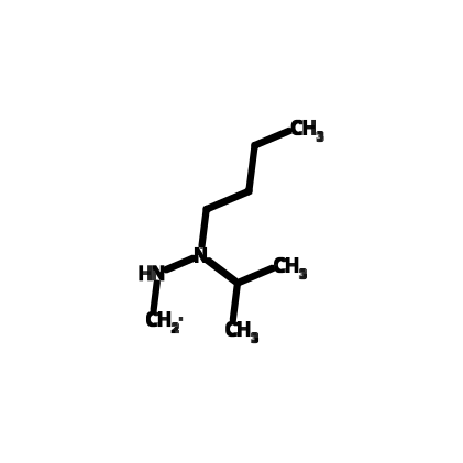 [CH2]NN(CCCC)C(C)C